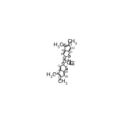 CC1=C(C)C2=C[CH]([Zr+2][CH]3C=C4C(=CC(C)=C4C)S3)SC2=C1.[Cl-].[Cl-]